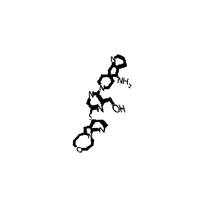 N[C@@H]1c2cccnc2CC12CCN(c1ncc(Sc3ccnc4c3cc3n4CCCOCCC3)nc1CO)CC2